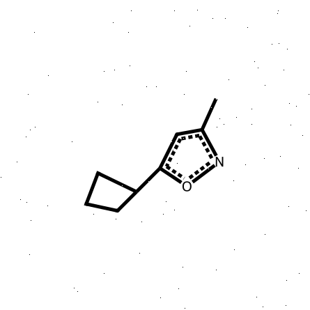 Cc1cc(C2CCC2)on1